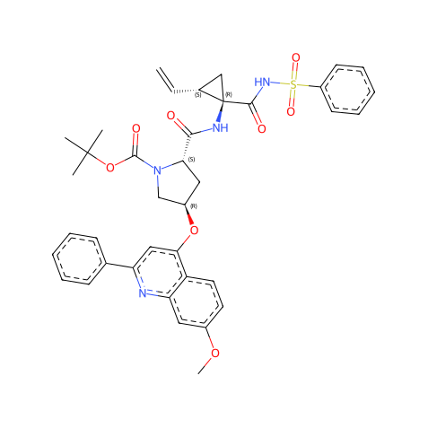 C=C[C@@H]1C[C@]1(NC(=O)[C@@H]1C[C@@H](Oc2cc(-c3ccccc3)nc3cc(OC)ccc23)CN1C(=O)OC(C)(C)C)C(=O)NS(=O)(=O)c1ccccc1